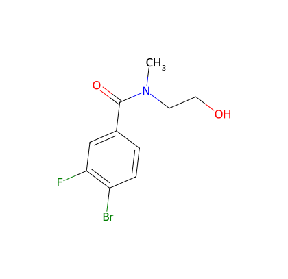 CN(CCO)C(=O)c1ccc(Br)c(F)c1